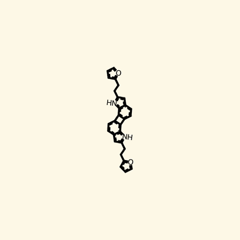 c1coc(CCc2cc3ccc4c(c3[nH]2)-c2ccc3cc(CCc5ccco5)[nH]c3c2-4)c1